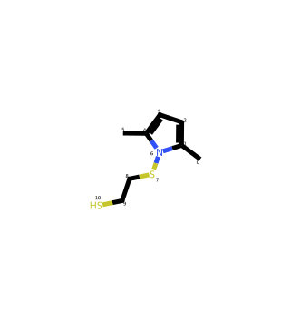 Cc1ccc(C)n1SCCS